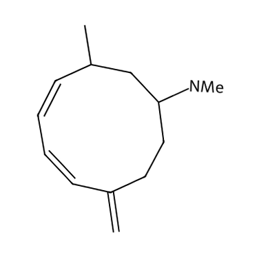 C=C1/C=C\C=C/C(C)CC(NC)CC1